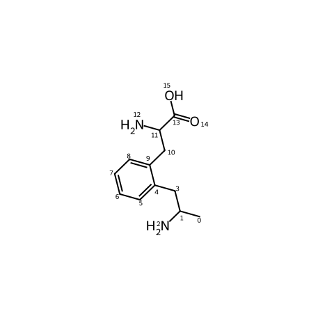 CC(N)Cc1ccccc1CC(N)C(=O)O